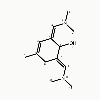 CC1=CC(=CN(C)C)C(O)C(=CN(C)C)C1